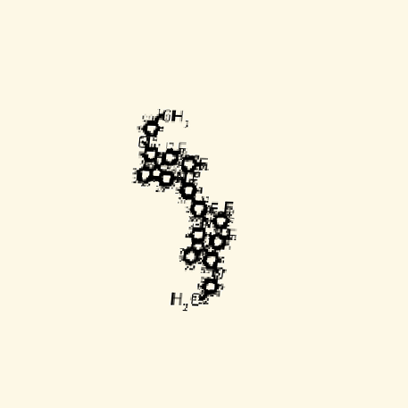 C=Cc1ccc(Oc2ccc(C3(c4ccc(F)cc4)c4ccccc4-c4ccc(N(c5ccc(-c6ccc(N(c7ccc8c(c7)[C@@](c7ccc(F)cc7)(c7ccc(Oc9ccc(C=C)cc9)cc7)c7ccccc7-8)c7cccc(F)c7F)cc6)cc5)c5cccc(F)c5F)cc43)cc2)cc1